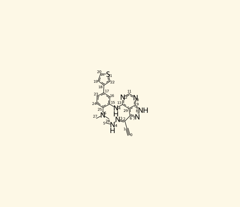 C#C/C(=N\NC)c1n[nH]c2ncnc(Nc3cc(-c4ccsc4)ccc3N(C)C)c12